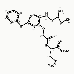 COC(=O)[C@H](CCSC)NC(=O)COc1nc(Cc2ccccc2)ccc1NCC(N)CS